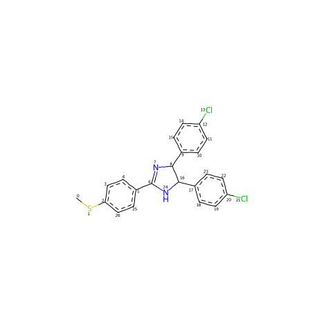 CSc1ccc(C2=NC(c3ccc(Cl)cc3)C(c3ccc(Cl)cc3)N2)cc1